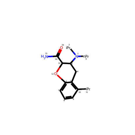 CCCN(C(C)C)C1Cc2c(cccc2C(C)C)OC1C(N)=O